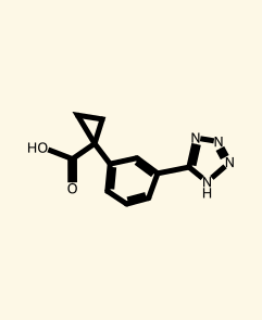 O=C(O)C1(c2cccc(-c3nnn[nH]3)c2)CC1